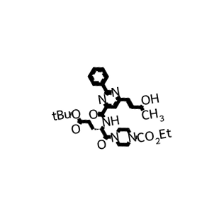 CCOC(=O)N1CCN(C(=O)[C@H](CCC(=O)OC(C)(C)C)NC(=O)c2cc(C=CC(C)O)nc(-c3ccccc3)n2)CC1